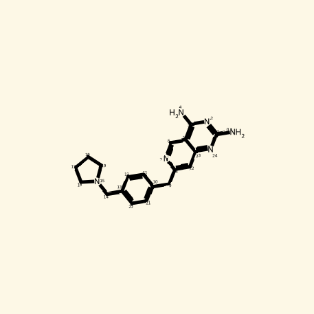 Nc1nc(N)c2cnc(Cc3ccc(CN4CCCC4)cc3)cc2n1